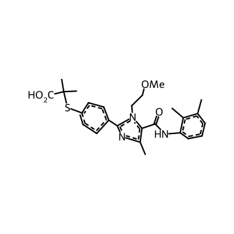 COCCn1c(-c2ccc(SC(C)(C)C(=O)O)cc2)nc(C)c1C(=O)Nc1cccc(C)c1C